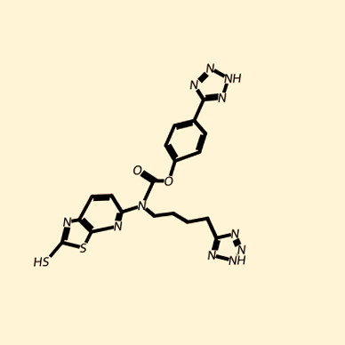 O=C(Oc1ccc(-c2nn[nH]n2)cc1)N(CCCCc1nn[nH]n1)c1ccc2nc(S)sc2n1